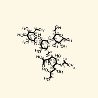 CC(=O)N[C@H]1[C@H]([C@H](O)[C@H](O)CO)O[C@@](OC[C@H]2O[C@@H](O[C@H]3[C@H](O)[C@@H](O)C(O)O[C@@H]3CO)[C@H](O)[C@@H](O[C@@H]3O[C@H](CO)[C@H](O)[C@H](O)[C@H]3O)[C@H]2O)(C(=O)O)C[C@@H]1O